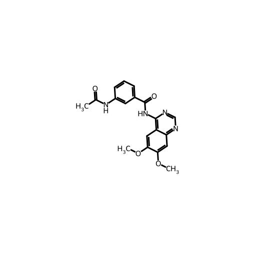 COc1cc2ncnc(NC(=O)c3cccc(NC(C)=O)c3)c2cc1OC